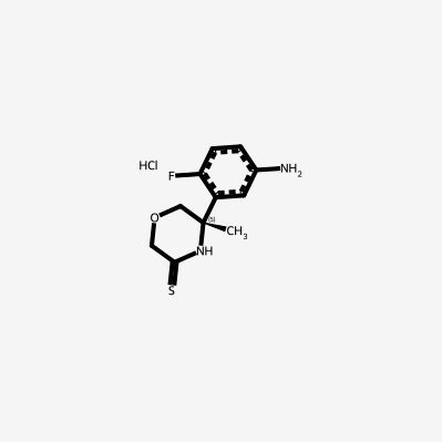 C[C@]1(c2cc(N)ccc2F)COCC(=S)N1.Cl